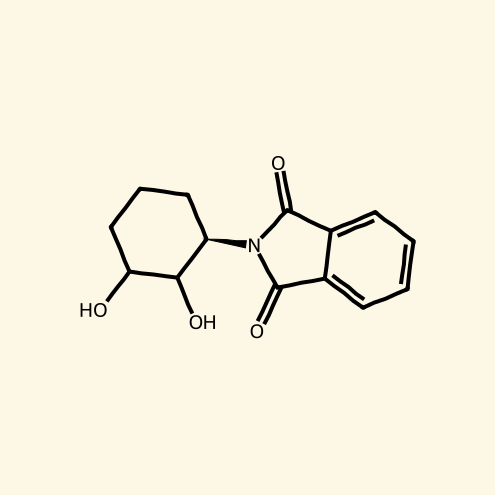 O=C1c2ccccc2C(=O)N1[C@@H]1CCCC(O)C1O